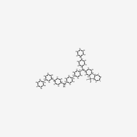 CC1(C)c2ccccc2-c2ccc(N(c3ccc(-c4ccccc4)cc3)c3ccc(-c4ccc(Nc5ccc(-c6cccc(-c7ccccc7)c6)cc5)cc4)cc3)cc21